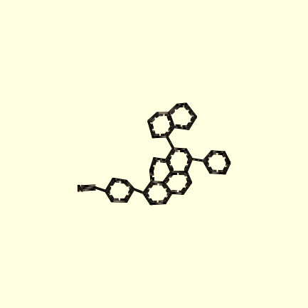 N#Cc1ccc(-c2ccc3ccc4c(-c5ccccc5)cc(-c5cccc6ccccc56)c5ccc2c3c45)cc1